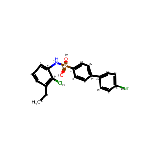 CCc1cccc(NS(=O)(=O)c2ccc(-c3ccc(Br)cc3)cc2)c1Cl